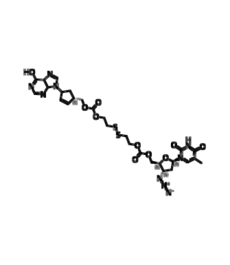 Cc1cn([C@H]2C[C@H](N=[N+]=[N-])[C@@H](COC(=O)OCCSSCCOC(=O)OC[C@@H]3C=CC(N4C=NC5C(O)=NC=NC54)C3)O2)c(=O)[nH]c1=O